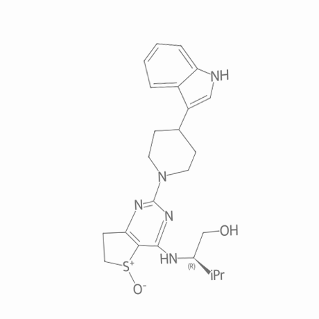 CC(C)[C@H](CO)Nc1nc(N2CCC(c3c[nH]c4ccccc34)CC2)nc2c1[S+]([O-])CC2